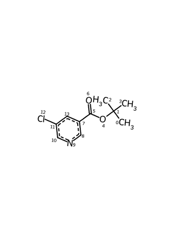 CC(C)(C)OC(=O)c1cncc(Cl)c1